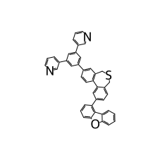 c1cncc(-c2cc(-c3cccnc3)cc(-c3ccc4c(c3)CSCc3ccc(-c5cccc6oc7ccccc7c56)cc3-4)c2)c1